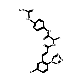 CCC(NC(=O)C=Cc1cc(Cl)ccc1-n1cnnn1)C(=O)Nc1ccc(NC(=O)OC)cc1